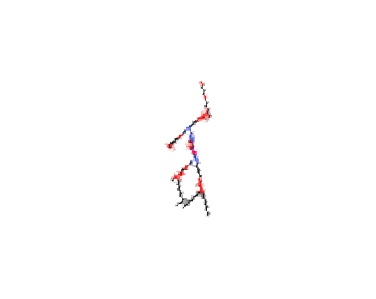 CCCCCCCCCCC(CC)OC(=O)CCCCCN(CCCCCCCC(=O)O)CCNC(=O)CC(=O)NCCN(CCCCCCCC(=O)OC(CCCCCCCC)CCCCCCCC)CCCCCC(=O)OC(CC)CCCCCCCCCC